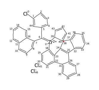 Clc1cccc([C](c2cccc3ccccc23)=[Zr+2]([c]2cccc3c2c2c(c4ccccc43)-c3ccccc3C2)[CH]2C=CC=C2)c1.[Cl-].[Cl-]